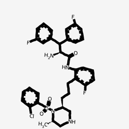 C[C@H]1CNC[C@H](CCCc2c(F)cccc2NC(=O)[C@@H](N)C(c2cccc(F)c2)c2cccc(F)c2)N1S(=O)(=O)c1ccccc1Cl